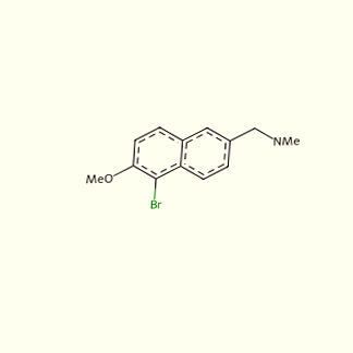 CNCc1ccc2c(Br)c(OC)ccc2c1